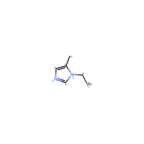 Cc1cncn1CC(C)C